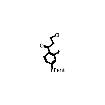 CCCCCc1ccc(C(=O)CCCl)c(F)c1